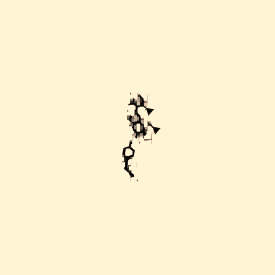 Cc1ncnc(C2CC2)c1-c1ncc2nc(NCc3ccc(S(=O)(=O)CC#N)cc3)c(=O)n([C@@H](C)C3CC3)c2n1